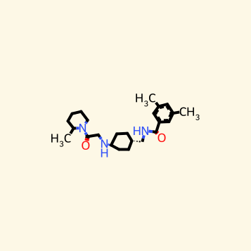 Cc1cc(C)cc(C(=O)NC[C@H]2CC[C@H](NCC(=O)N3CCCCC3C)CC2)c1